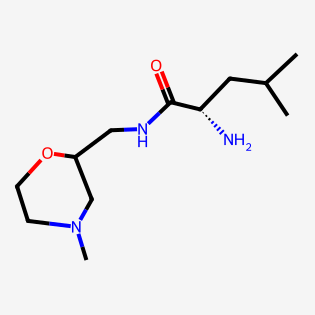 CC(C)C[C@H](N)C(=O)NCC1CN(C)CCO1